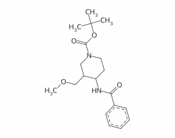 COCC1CN(C(=O)OC(C)(C)C)CCC1NC(=O)c1ccccc1